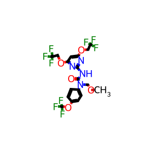 COCN(C(=O)Nc1nc(OCC(F)(F)F)cc(OCC(F)(F)F)n1)c1ccc(OC(F)(F)F)cc1